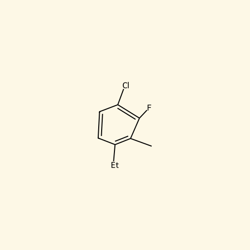 CCc1ccc(Cl)c(F)c1C